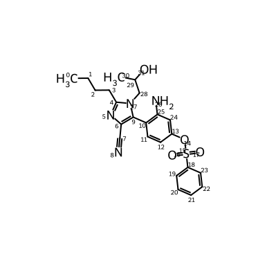 CCCCc1nc(C#N)c(-c2ccc(OS(=O)(=O)c3ccccc3)cc2N)n1CC(C)O